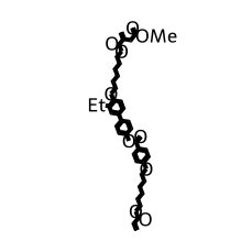 C=CC(=O)OCCCCCCOc1ccc(C(=O)Oc2ccc(-c3ccc(OCCCCCCOC(=O)C(=C)CC(=O)OC)c(CC)c3)cc2)cc1